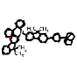 CC1(C)c2ccccc2-c2ccc(N(c3ccc4c(c3)C(C)(C)c3cc(-c5ccc(C67CC8CC(CC(C8)C6)C7)cc5)ccc3-4)c3ccccc3-c3ccccc3)cc21